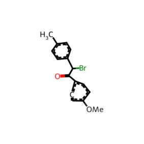 COc1ccc(C(=O)C(Br)c2ccc(C)cc2)cc1